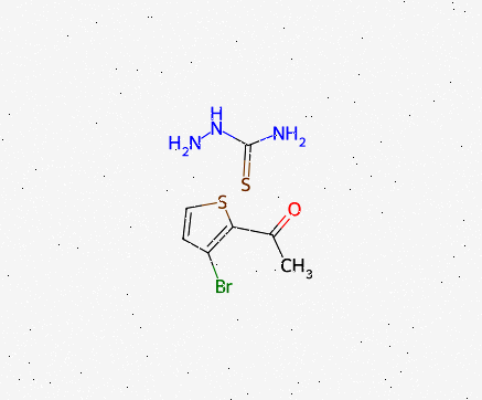 CC(=O)c1sccc1Br.NNC(N)=S